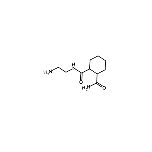 NCCNC(=O)C1CCCCC1C(N)=O